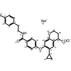 O=C(NCCc1ccc(Cl)cc1)c1ccc(Oc2cc3c(cc2C2CC2)C(C(=O)[O-])CCO3)cc1.[Na+]